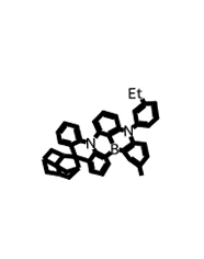 CCc1cccc(N2c3ccc(C)cc3B3c4cccc5c4N(c4ccccc4C54C5CC6CC(C5)CC4C6)c4cccc2c43)c1